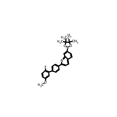 COc1ccc(F)c(-c2ccc(-c3ccc4ccc(B5OC(C)(C)C(C)(C)O5)cc4n3)cc2)c1